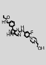 C=CC(=O)Nc1cccc(-c2n[nH]c3cnc(Nc4ccc(N5CCN(CCO)CC5)c(F)c4)nc23)c1